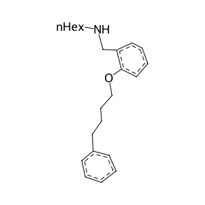 CCCCCCNCc1ccccc1OCCCCc1ccccc1